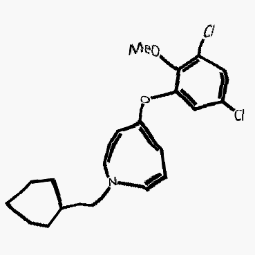 COc1c(Cl)cc(Cl)cc1OC1=CC=CN(CC2CCCCC2)C=C1